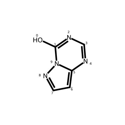 Oc1ncnc2[c]cnn12